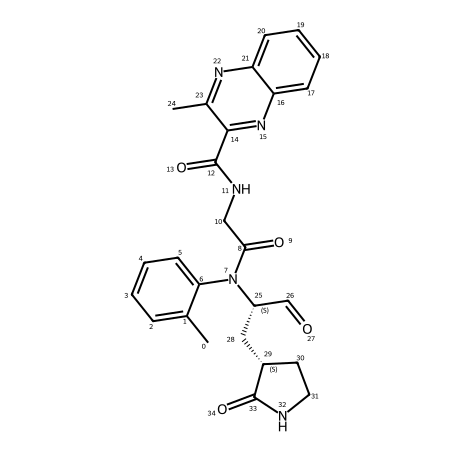 Cc1ccccc1N(C(=O)CNC(=O)c1nc2ccccc2nc1C)[C@H](C=O)C[C@@H]1CCNC1=O